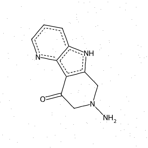 NN1CC(=O)c2c([nH]c3cccnc23)C1